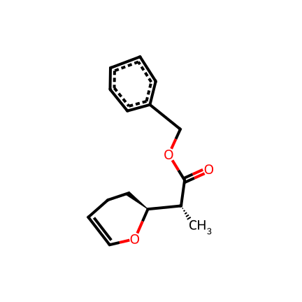 C[C@@H](C(=O)OCc1ccccc1)[C@@H]1CCC=CO1